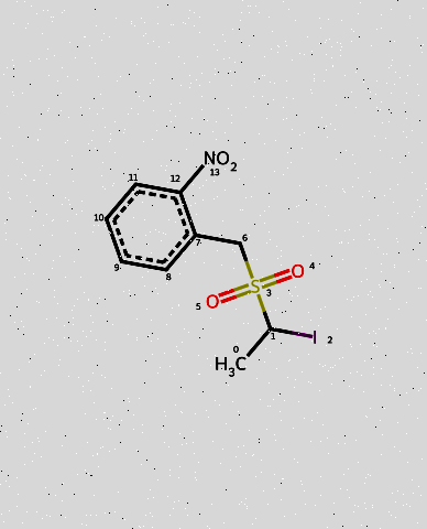 CC(I)S(=O)(=O)Cc1ccccc1[N+](=O)[O-]